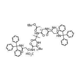 CC[C@H](C)[C@H](NC(=O)C(C)(C)NC(=O)[C@H](CC(=O)OC(C)(C)C)NC(=O)[C@@H](N)CC(=O)NC(c1ccccc1)(c1ccccc1)c1ccccc1)C(=O)N[C@@H](CC(=O)NC(c1ccccc1)(c1ccccc1)c1ccccc1)C(=O)O